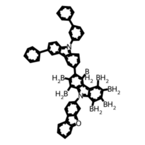 Bc1c(B)c(B)c2c(c1B)c1c(B)c(-c3ccc4c(c3)c3cc(-c5ccccc5)ccc3n4-c3cccc(-c4ccccc4)c3)c(B)c(B)c1n2-c1ccc2c(c1)oc1ccccc12